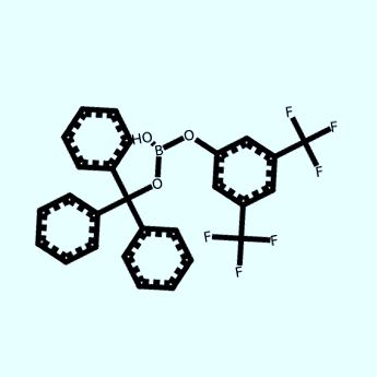 OB(Oc1cc(C(F)(F)F)cc(C(F)(F)F)c1)OC(c1ccccc1)(c1ccccc1)c1ccccc1